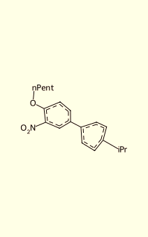 CCCCCOc1ccc(-c2ccc(C(C)C)cc2)cc1[N+](=O)[O-]